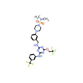 CN(C)S(=O)(=O)N1CCN(c2cccc(CNc3nc(Nc4cccc(C(F)(F)F)c4)nc(OCC(F)(F)F)n3)c2)CC1